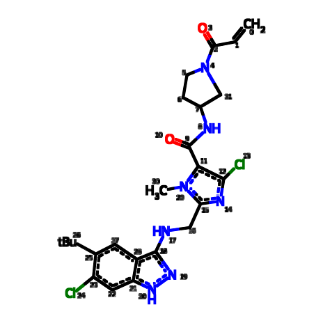 C=CC(=O)N1CCC(NC(=O)c2c(Cl)nc(CNc3n[nH]c4cc(Cl)c(C(C)(C)C)cc34)n2C)C1